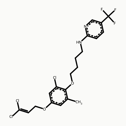 Cc1cc(OCC=C(Cl)Cl)cc(Cl)c1OCCCCNc1ccc(C(F)(F)F)cn1